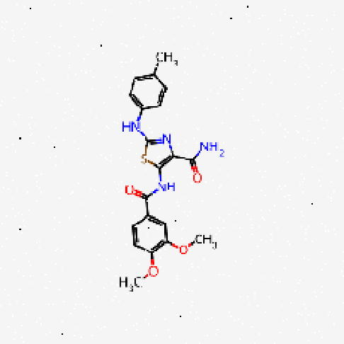 COc1ccc(C(=O)Nc2sc(Nc3ccc(C)cc3)nc2C(N)=O)cc1OC